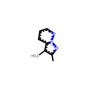 Cc1nn2ncccc2c1C(=O)O